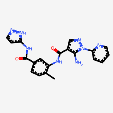 Cc1ccc(C(=O)Nc2ccn[nH]2)cc1NC(=O)c1cnn(-c2ccccn2)c1N